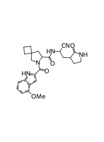 COc1cccc2[nH]c(C(=O)N3CC4(CCC4)CC3C(=O)NC(C#N)CC3CCNC3=O)cc12